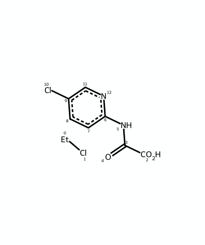 CCCl.O=C(O)C(=O)Nc1ccc(Cl)cn1